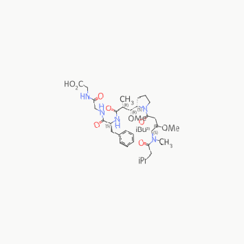 CC[C@H](C)[C@@H]([C@@H](CC(=O)N1CCC[C@H]1[C@H](OC)[C@@H](C)C(=O)N[C@@H](Cc1ccccc1)C(=O)NCC(=O)NCC(=O)O)OC)N(C)C(=O)CC(C)C